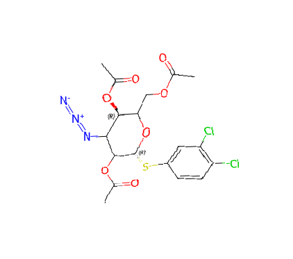 CC(=O)OCC1O[C@H](Sc2ccc(Cl)c(Cl)c2)C(OC(C)=O)C(N=[N+]=[N-])[C@H]1OC(C)=O